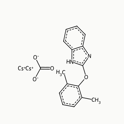 Cc1cccc(C)c1Oc1nc2ccccc2[nH]1.O=C([O-])[O-].[Cs+].[Cs+]